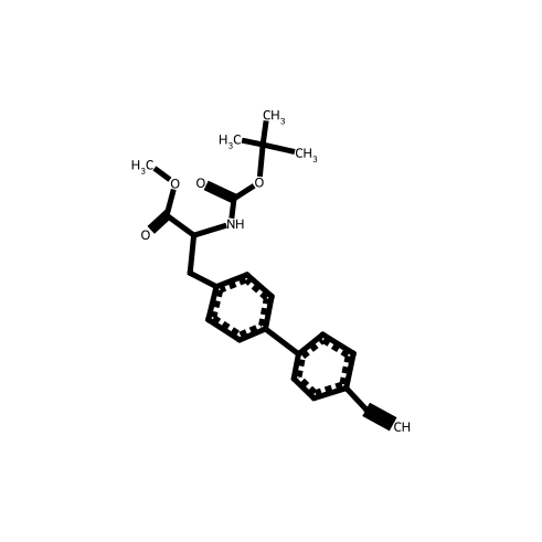 C#Cc1ccc(-c2ccc(CC(NC(=O)OC(C)(C)C)C(=O)OC)cc2)cc1